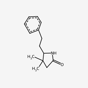 CC1(C)CC(=O)NC1CCc1ccccc1